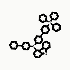 c1ccc(-c2ccc(N(c3ccc(-c4ccc([Si](c5ccccc5)(c5ccccc5)c5ccccc5)cc4)cc3)c3cccc4oc5ccccc5c34)cc2)cc1